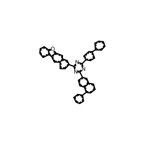 c1ccc(-c2ccc(-c3nc(-c4ccc5cc6c(cc5c4)oc4ccccc46)nc(-c4ccc5c(-c6ccccc6)cccc5c4)n3)cc2)cc1